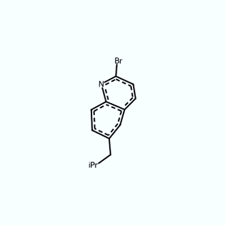 CC(C)Cc1ccc2nc(Br)ccc2c1